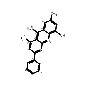 Cc1cc(C)c2nc3nc(-c4ccccc4)cc(C)c3c(N)c2c1